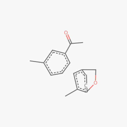 CC(=O)c1cccc(C)c1.Cc1cc2ccc1OC2